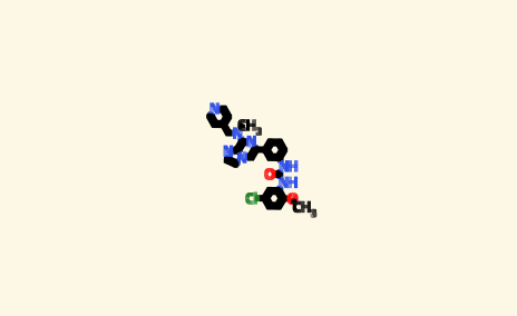 COc1ccc(Cl)cc1NC(=O)Nc1cccc(-c2cn3ccnc3c(N(C)Cc3ccncc3)n2)c1